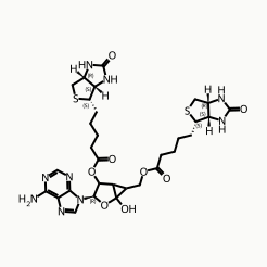 Nc1ncnc2c1ncn2[C@@H]1OC2(O)C(COC(=O)CCCC[C@@H]3SC[C@@H]4NC(=O)N[C@@H]43)C2C1OC(=O)CCCC[C@@H]1SC[C@@H]2NC(=O)N[C@@H]21